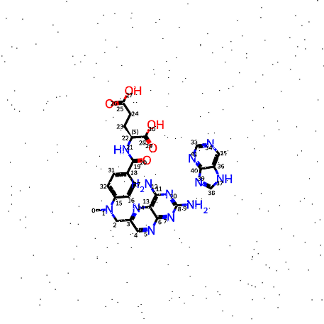 CN(Cc1cnc2nc(N)nc(N)c2n1)c1ccc(C(=O)N[C@@H](CCC(=O)O)C(=O)O)cc1.c1ncc2[nH]cnc2n1